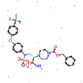 CS(=O)(=O)N(C[C@@H](C(N)=O)N1CCN(C(=O)OCc2ccccc2)CC1)c1ccc(Oc2ccc(C(F)(F)F)cc2)cc1